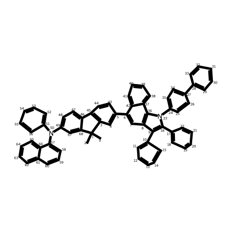 CC1(C)c2cc(-c3cc4c(-c5ccccc5)c(-c5ccccc5)n(-c5ccc(-c6ccccc6)cc5)c4c4ccccc34)ccc2-c2ccc(N(c3ccccc3)c3cccc4ccccc34)cc21